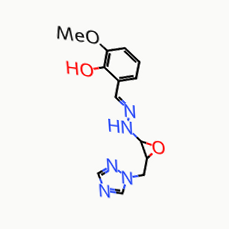 COc1cccc(/C=N/NC2OC2Cn2cncn2)c1O